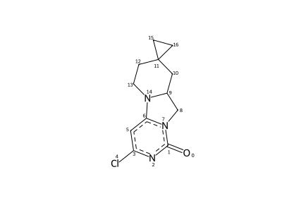 O=c1nc(Cl)cc2n1CC1CC3(CCN21)CC3